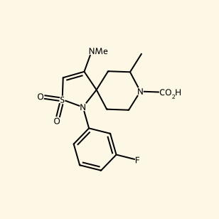 CNC1=CS(=O)(=O)N(c2cccc(F)c2)C12CCN(C(=O)O)C(C)C2